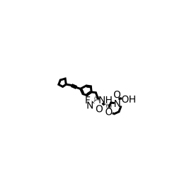 N#C[C@H](Cc1ccc(C#CC2CCCC2)cc1F)NC(=O)[C@@H]1CN(C(=O)O)CCCO1